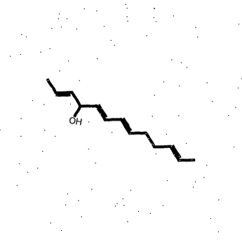 C/C=C/CC/C=C/C=C/C(O)/C=C/C